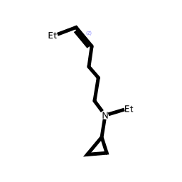 CC/C=C\CCCN(CC)C1CC1